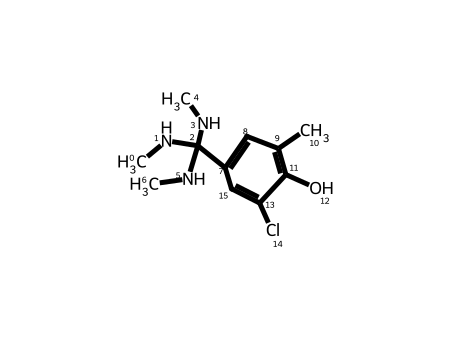 CNC(NC)(NC)c1cc(C)c(O)c(Cl)c1